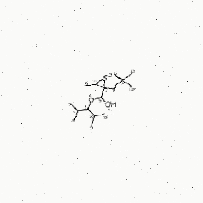 CC(C)C(OC(O)C1(CC(C)(C)C)SC1C)C(C)C